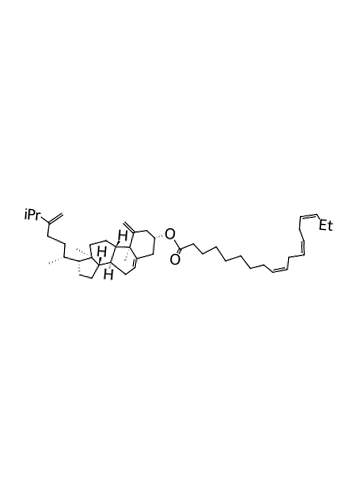 C=C(CC[C@@H](C)[C@H]1CC[C@H]2[C@@H]3CC=C4C[C@@H](OC(=O)CCCCCCC/C=C\C/C=C\C/C=C\CC)CC(=C)[C@]4(C)[C@H]3CC[C@]12C)C(C)C